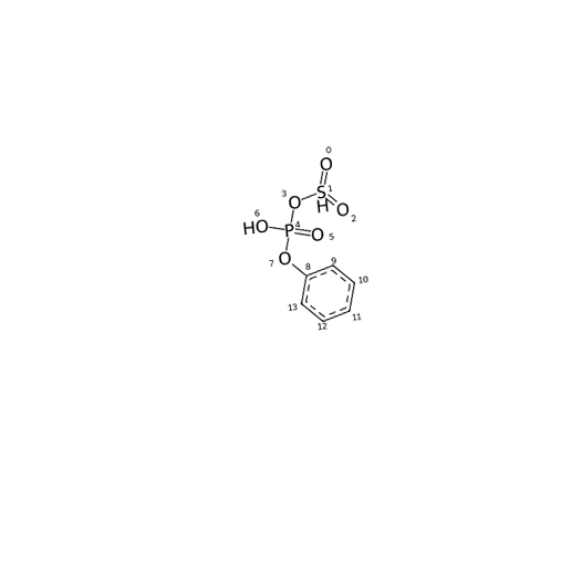 O=[SH](=O)OP(=O)(O)Oc1ccccc1